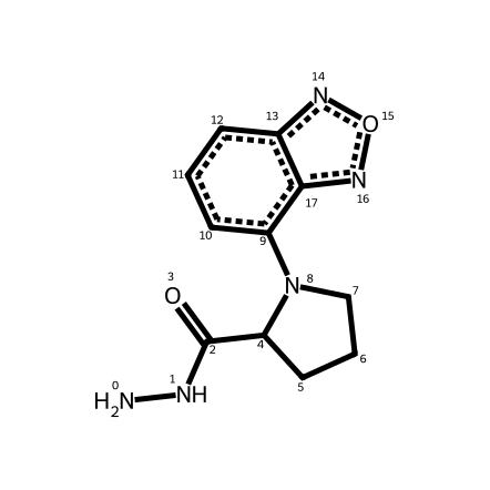 NNC(=O)C1CCCN1c1cccc2nonc12